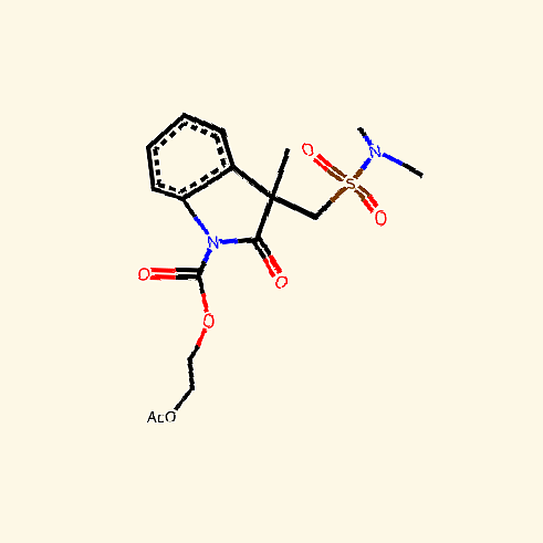 CC(=O)OCCOC(=O)N1C(=O)C(C)(CS(=O)(=O)N(C)C)c2ccccc21